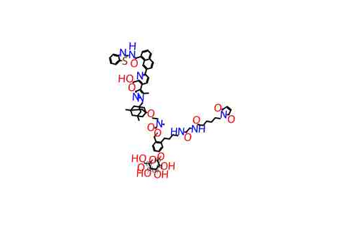 Cc1c(-c2ccc(-c3ccc4cccc(C(=O)Nc5nc6ccccc6s5)c4c3)nc2C(=O)O)cnn1CC12CC3(C)CC(C)(C1)CC(OCCN(C)C(=O)OCc1ccc(O[C@@H]4O[C@H](C(=O)O)[C@@H](O)[C@H](O)[C@H]4O)cc1CCCCNC(=O)CNC(=O)CCCCCN1C(=O)C=CC1=O)(C3)C2